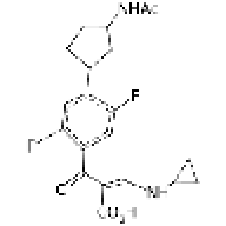 CC(=O)NC1CCC(c2cc(F)c(C(=O)C(=CNC3CC3)C(=O)O)cc2F)C1